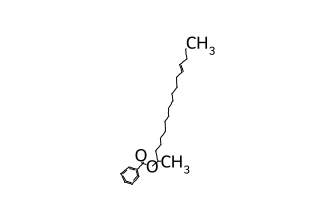 CCCC=CCCCCCCCCCCCC(C)OC(=O)c1ccccc1